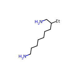 CCC(CN)CCCCCCCN